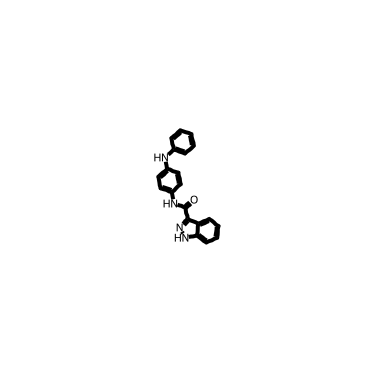 O=C(Nc1ccc(Nc2ccccc2)cc1)c1n[nH]c2ccccc12